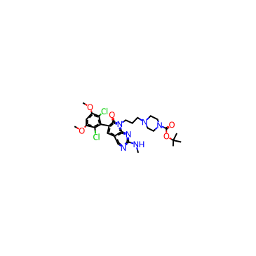 CNc1ncc2cc(-c3c(Cl)c(OC)cc(OC)c3Cl)c(=O)n(CCCN3CCN(C(=O)OC(C)(C)C)CC3)c2n1